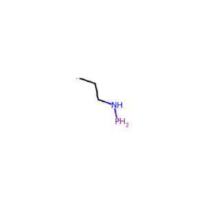 [CH2]CCNP